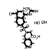 Cl.Cl.N=C(N)Nc1ncc(Cl)c2ccc(S(=O)(=O)N(CC(=O)O)Cc3ccncc3)cc12